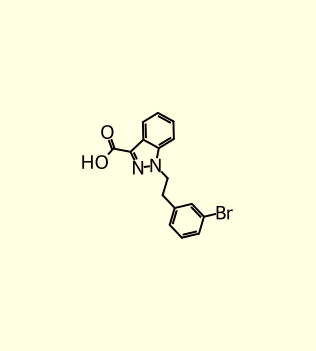 O=C(O)c1nn(CCc2cccc(Br)c2)c2ccccc12